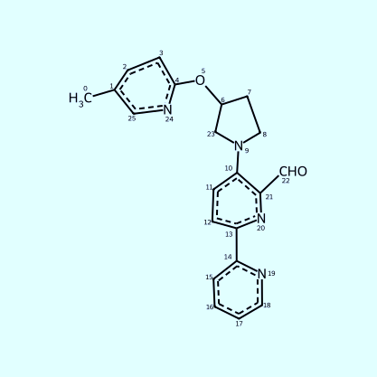 Cc1ccc(OC2CCN(c3ccc(-c4ccccn4)nc3C=O)C2)nc1